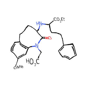 CCOC(=O)C(CCc1ccccc1)NC1CCc2ccc(OC)cc2N(CC(=O)O)C1=O